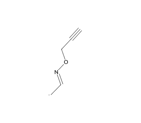 C#CCON=C[CH2]